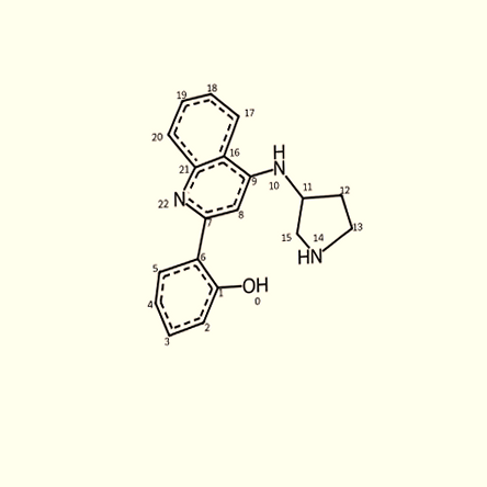 Oc1ccccc1-c1cc(NC2CCNC2)c2ccccc2n1